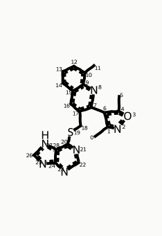 Cc1noc(C)c1-c1nc2c(C)cccc2cc1CSc1ncnc2nc[nH]c12